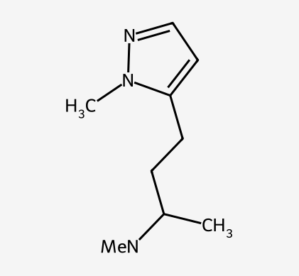 CNC(C)CCc1ccnn1C